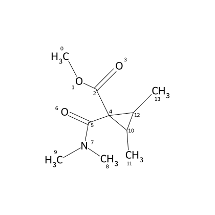 COC(=O)C1(C(=O)N(C)C)C(C)C1C